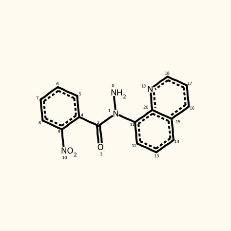 NN(C(=O)c1ccccc1[N+](=O)[O-])c1cccc2cccnc12